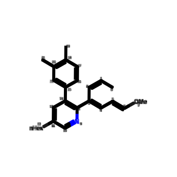 C\C=C/C(=C\C=C\OC)c1ncc(CCCCCC)cc1-c1ccc(C)c(C)c1